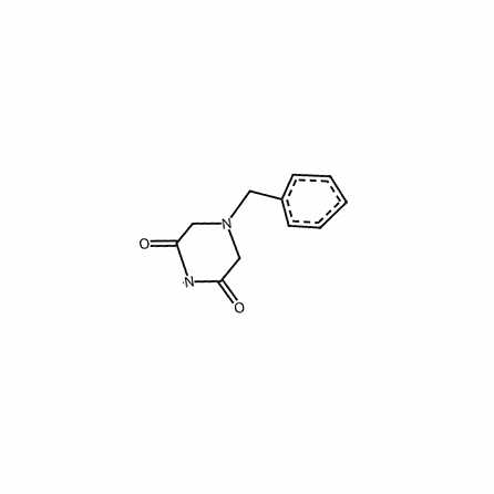 O=C1CN(Cc2ccccc2)CC(=O)[N]1